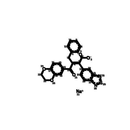 O=C([O-])C(=C(Cc1ccccc1)C(=O)c1ccc2c(c1)OCCO2)c1ccc2nsnc2c1.[Na+]